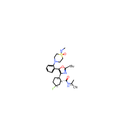 CN=S1(=O)CCN(c2ccccc2-c2oc(C(C)(C)C)nc2[C@@H]2CC[C@H](F)C[C@H]2C(=O)N[C@@H](C)C#N)CC1